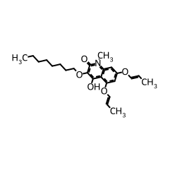 CC=COc1cc(OC=CC)c2c(O)c(OCCCCCCCC)c(=O)n(C)c2c1